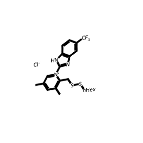 CCCCCCSSCc1c(C)cc(C)c[n+]1-c1nc2cc(C(F)(F)F)ccc2[nH]1.[Cl-]